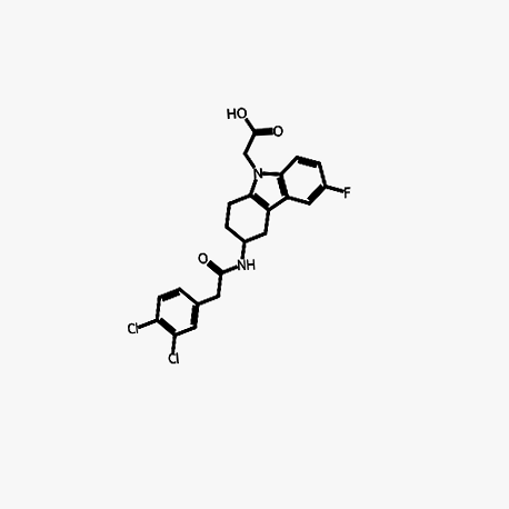 O=C(O)Cn1c2c(c3cc(F)ccc31)CC(NC(=O)Cc1ccc(Cl)c(Cl)c1)CC2